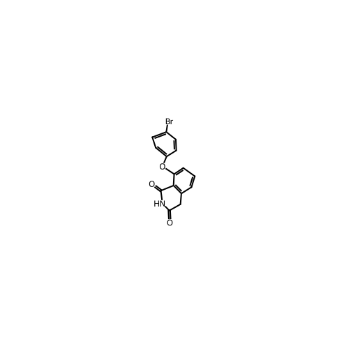 O=C1Cc2cccc(Oc3ccc(Br)cc3)c2C(=O)N1